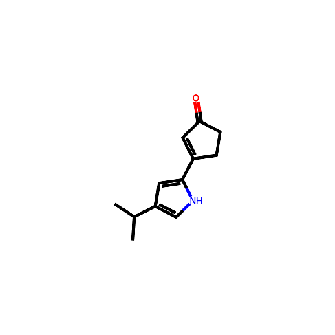 CC(C)c1c[nH]c(C2=CC(=O)CC2)c1